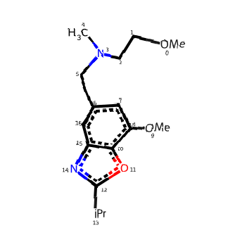 COCCN(C)Cc1cc(OC)c2oc(C(C)C)nc2c1